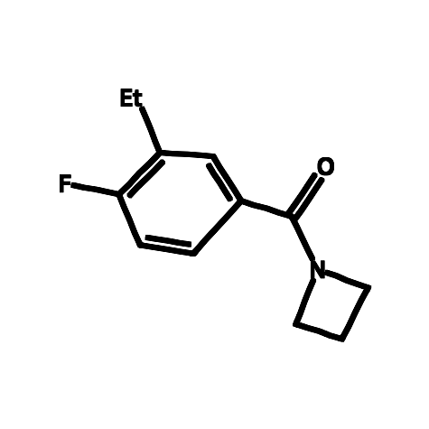 CCc1cc(C(=O)N2CCC2)ccc1F